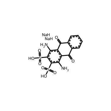 Nc1c2c(c(N)c(S(=O)(=O)O)c1S(=O)(=O)O)C(=O)c1ccccc1C2=O.[NaH].[NaH]